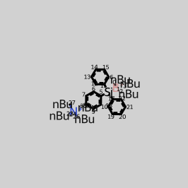 CCCC[B-](CCCC)(CCCC)[Si](c1ccccc1)(c1ccccc1)c1ccccc1.CCCC[N+](CCCC)(CCCC)CCCC